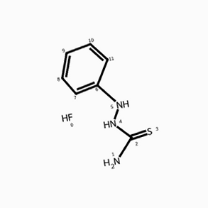 F.NC(=S)NNc1ccccc1